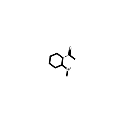 CNC1CCCC[C@@H]1C(C)=O